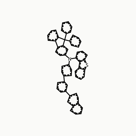 c1ccc(C2(c3ccccc3)c3ccccc3-c3ccc(N(c4ccc(-c5cccc(-c6ccc7ccccc7c6)c5)cc4)c4cccc5sc6ccccc6c45)cc32)cc1